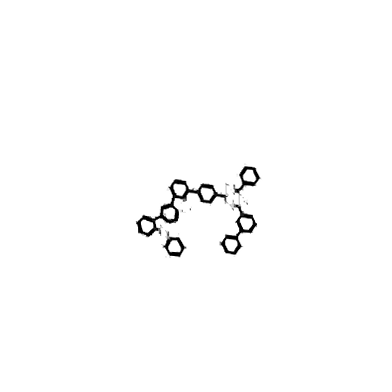 c1ccc(-c2cccc(-c3nc(-c4ccccc4)nc(-c4ccc(-c5cccc6c5oc5cc7c(cc56)c5ccccc5n7-c5ccccc5)cc4)n3)c2)cc1